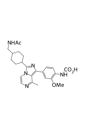 COc1cc(-c2nc(C3CCC(CNC(C)=O)CC3)n3ccnc(C)c23)ccc1NC(=O)O